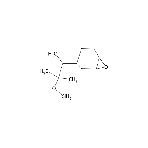 CC(C1CCC2OC2C1)C(C)(C)O[SiH3]